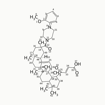 COc1ccccc1N1CCN(C(=O)C2(C)CC[C@]3(C)CC[C@]4(C)C(=CCC5[C@@]6(C)C(C(=O)C=CC(=O)O)CCC(C)(C)C6CC[C@]54C)[C@@H]3C2)CC1